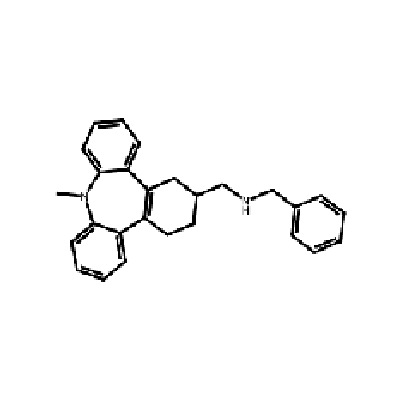 CN1c2ccccc2C2=C(CC(CNCc3ccccc3)CC2)c2ccccc21